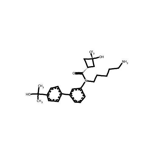 CC(C)(O)c1ccc(-c2cccc(N(CCCCCN)C(=O)[C@H]3C[C@](O)(C(F)(F)F)C3)c2)cc1